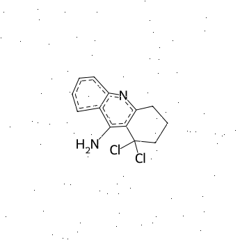 Nc1c2c(nc3ccccc13)CCCC2(Cl)Cl